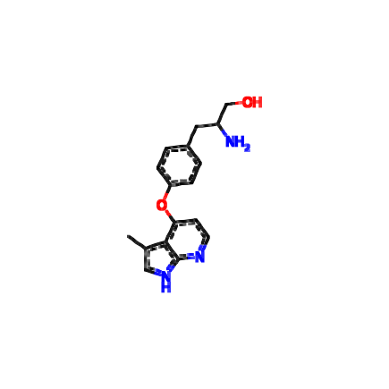 Cc1c[nH]c2nccc(Oc3ccc(CC(N)CO)cc3)c12